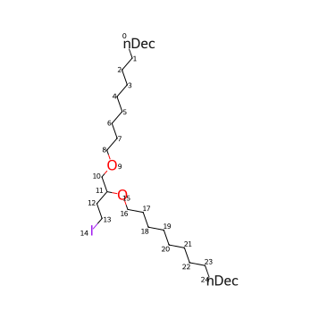 CCCCCCCCCCCCCCCCCCOCC(CCI)OCCCCCCCCCCCCCCCCCC